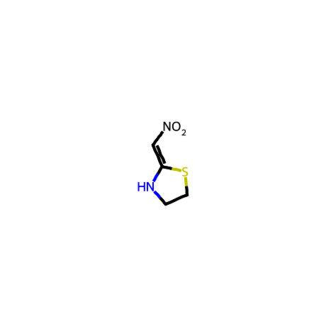 O=[N+]([O-])C=C1NCCS1